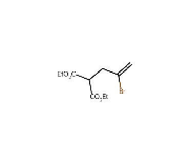 C=C(Br)CC(C(=O)OCC)C(=O)OCC